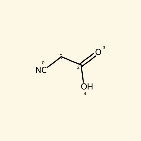 N#C[CH]C(=O)O